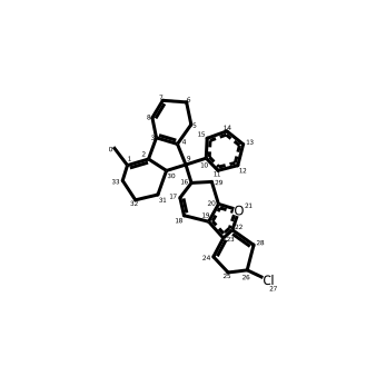 CC1=C2C3=C(CCC=C3)C(c3ccccc3)(C3C=Cc4c(oc5c4=CCC(Cl)C=5)C3)C2CCC1